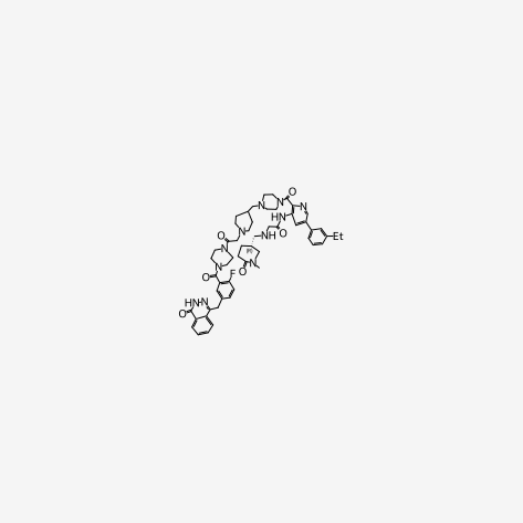 CCc1cccc(-c2cnc(C(=O)N3CCN(CC4CCN(CC(=O)N5CCN(C(=O)c6cc(Cc7n[nH]c(=O)c8ccccc78)ccc6F)CC5)CC4)CC3)c(NC(=O)CNC[C@H]3CCC(=O)N(C)C3)c2)c1